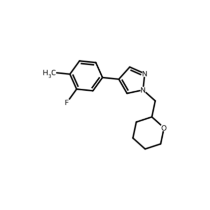 Cc1ccc(-c2cnn(CC3CCCCO3)c2)cc1F